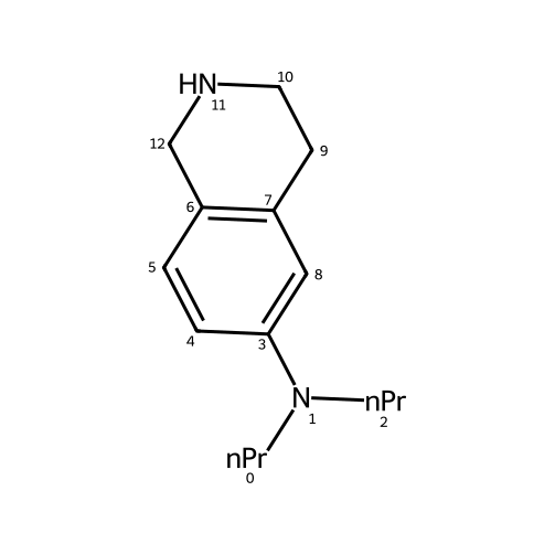 CCCN(CCC)c1ccc2c(c1)CCNC2